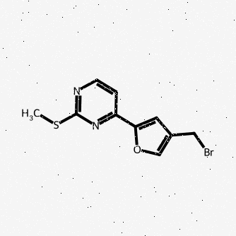 CSc1nccc(-c2cc(CBr)co2)n1